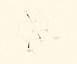 CCCN1CC[C@H]2CC[C@H](N)[C@H]21